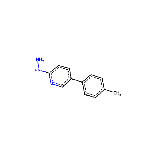 Cc1ccc(-c2ccc(NN)nc2)cc1